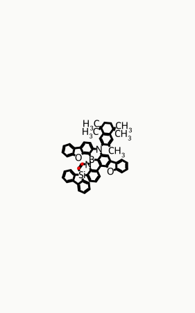 Cc1cc2c(cc1N1c3cc4c(oc5ccccc54)c4c3B(c3c1ccc1c3oc3ccccc31)N1c3ccccc3[Si]3(c5ccccc5-c5ccccc53)c3cccc-4c31)C(C)(C)CCC2(C)C